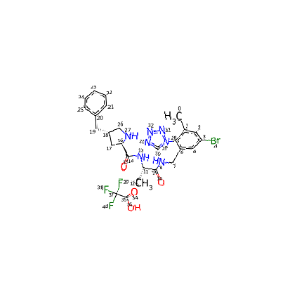 Cc1cc(Br)cc(CNC(=O)[C@H](C)NC(=O)[C@H]2C[C@H](Cc3ccccc3)CN2)c1-n1cnnn1.O=C(O)C(F)(F)F